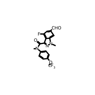 CN(C(=O)c1nn(C)c2cc(C=O)cc(F)c12)c1ccc(OC(F)(F)F)cc1